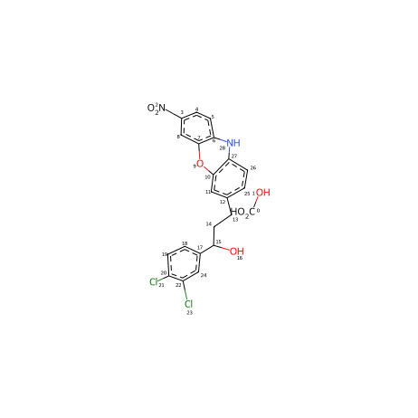 O=C(O)O.O=[N+]([O-])c1ccc2c(c1)Oc1cc(CCC(O)c3ccc(Cl)c(Cl)c3)ccc1N2